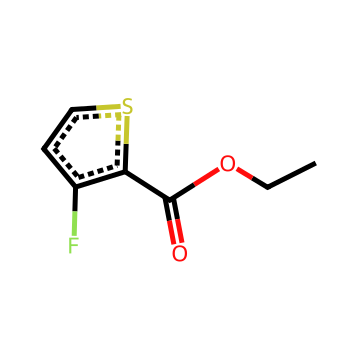 CCOC(=O)c1sccc1F